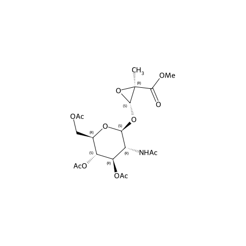 COC(=O)[C@]1(C)O[C@H]1O[C@@H]1O[C@H](COC(C)=O)[C@@H](OC(C)=O)[C@H](OC(C)=O)[C@H]1NC(C)=O